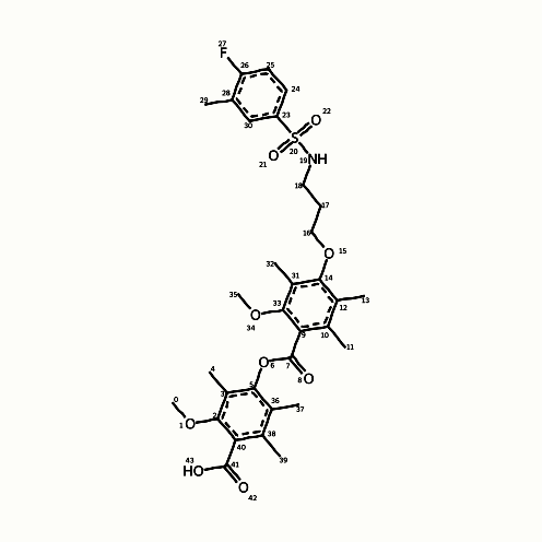 COc1c(C)c(OC(=O)c2c(C)c(C)c(OCCCNS(=O)(=O)c3ccc(F)c(C)c3)c(C)c2OC)c(C)c(C)c1C(=O)O